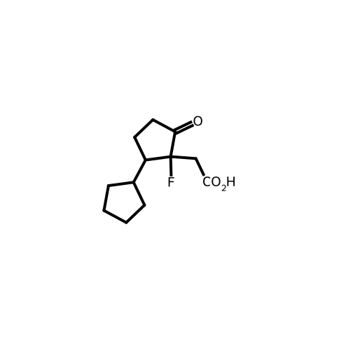 O=C(O)CC1(F)C(=O)CCC1C1CCCC1